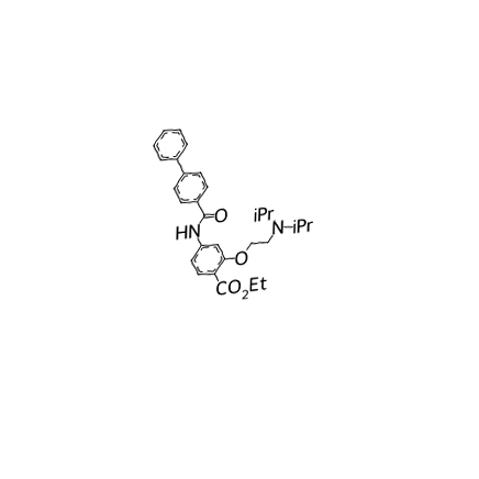 CCOC(=O)c1ccc(NC(=O)c2ccc(-c3ccccc3)cc2)cc1OCCN(C(C)C)C(C)C